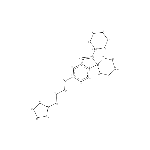 O=C(N1CCCCC1)C1(c2ccc(SCCCN3CCCC3)cc2)CCOCC1